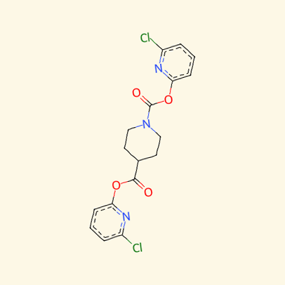 O=C(Oc1cccc(Cl)n1)C1CCN(C(=O)Oc2cccc(Cl)n2)CC1